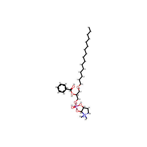 CCCCCCCCCCCCCCCCOCC(COP1(=O)OC2CC[N+](C)(C)C2O1)OC(=O)c1ccccc1